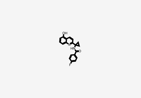 O=C(NC1(c2ccc3c(O)cccc3n2)CC1)c1ccc(F)cc1